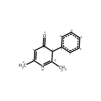 CC1=CC(=O)C(c2ccccc2)C(C)=N1